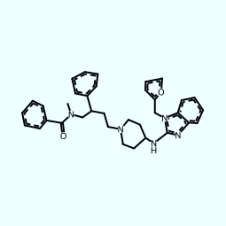 CN(CC(CCN1CCC(Nc2nc3ccccc3n2Cc2ccco2)CC1)c1ccccc1)C(=O)c1ccccc1